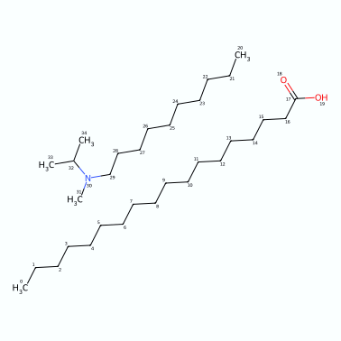 CCCCCCCCCCCCCCCCCC(=O)O.CCCCCCCCCCN(C)C(C)C